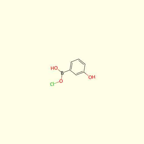 OB(OCl)c1cccc(O)c1